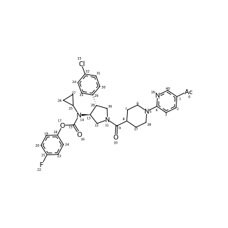 CC(=O)c1ccc(N2CCC(C(=O)N3C[C@@H](N(C(=O)Oc4ccc(F)cc4)C4CC4)[C@H](c4ccc(Cl)cc4)C3)CC2)nc1